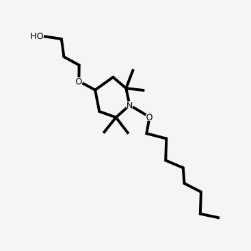 CCCCCCCCON1C(C)(C)CC(OCCCO)CC1(C)C